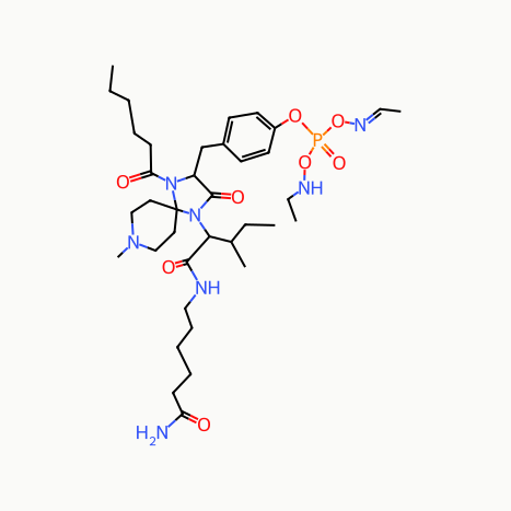 CC=NOP(=O)(ONCC)Oc1ccc(CC2C(=O)N(C(C(=O)NCCCCCC(N)=O)C(C)CC)C3(CCN(C)CC3)N2C(=O)CCCCC)cc1